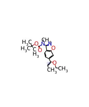 C/C=C(\OCC)c1ccc2c(N(C)C(=O)OC(C)(C)C)noc2c1